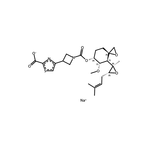 CO[C@@H]1[C@H](OC(=O)N2CC(c3csc(C(=O)[O-])n3)C2)CC[C@]2(CO2)[C@H]1[C@@]1(C)O[C@@H]1CC=C(C)C.[Na+]